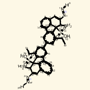 [H]/N=N/C1=Cc2ccccc2C(c2c(CC)cc(-c3cc(CC)c(C4(S(=O)(=O)O)c5ccccc5C=C(/N=N/[H])C4N)c(CC)c3)cc2CC)(S(=O)(=O)O)C1N